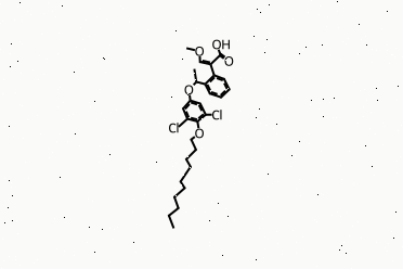 CCCCCCCCCCOc1c(Cl)cc(OC(C)c2ccccc2C(=COC)C(=O)O)cc1Cl